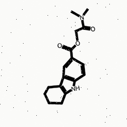 CN(C)C(=O)COC(=O)c1ccc2[nH]c3c(c2c1)CCCC3